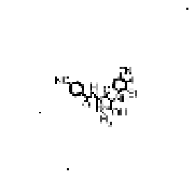 CCc1c(NC(C(=O)NNC(=O)c2ccc(C#N)cc2)[C@@H](C)O)ccc(C#N)c1I